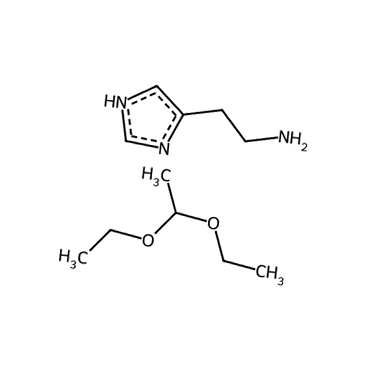 CCOC(C)OCC.NCCc1c[nH]cn1